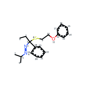 CCC(/N=N/C(C)C)(SCCOc1ccccc1)c1ccccc1